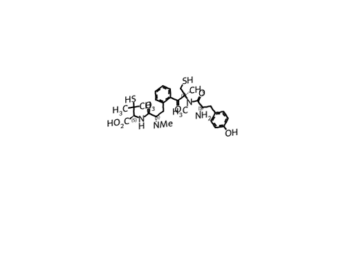 CN[C@@H](Cc1ccccc1C(=O)[C@@](C)(CS)N(C)C(=O)[C@@H](N)Cc1ccc(O)cc1)C(=O)N[C@@H](C(=O)O)C(C)(C)S